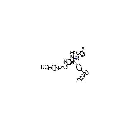 CC(C)(O)C1CCN(CCOc2cc3c(cn2)[nH]/c(=N\C(=O)c2cccc(F)c2)n3C2CCC(C(=O)N3CC(F)(F)C3)CC2)CC1